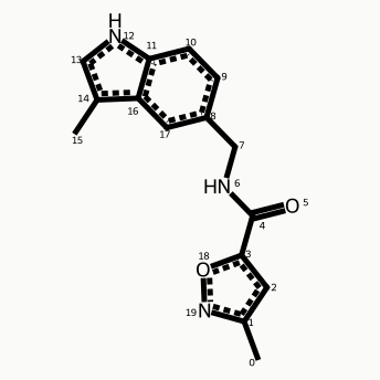 Cc1cc(C(=O)NCc2ccc3[nH]cc(C)c3c2)on1